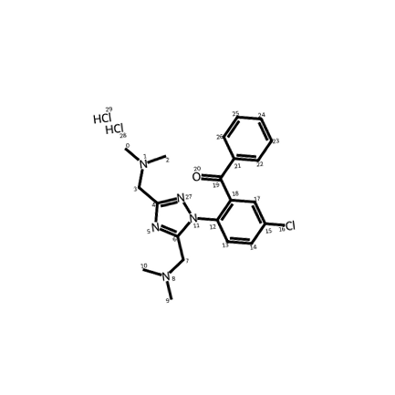 CN(C)Cc1nc(CN(C)C)n(-c2ccc(Cl)cc2C(=O)c2ccccc2)n1.Cl.Cl